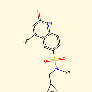 CCCN(CC1CC1)S(=O)(=O)c1ccc2[nH]c(=O)cc(C(F)(F)F)c2c1